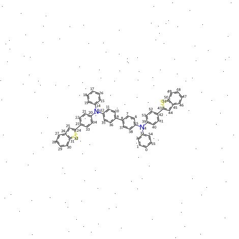 c1ccc(N(c2ccc(-c3ccc(N(c4ccccc4)c4ccc(-c5cc6ccccc6s5)cc4)cc3)cc2)c2ccc(-c3cc4ccccc4s3)cc2)cc1